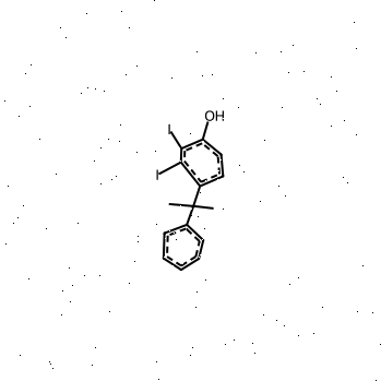 CC(C)(c1ccccc1)c1ccc(O)c(I)c1I